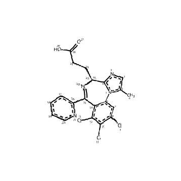 Cc1cnc2n1-c1cc(Cl)c(Cl)c(Cl)c1C(c1ccccn1)=N[C@H]2CCC(=O)O